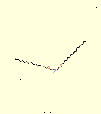 CCCC/C=C/C/C=C/CCCCCCCOCCN(C)CCOCCCCCCCCCCCCCCCC